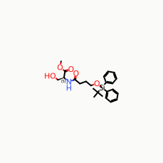 COC(=O)[C@H](CO)NC(=O)CCCO[Si](c1ccccc1)(c1ccccc1)C(C)(C)C